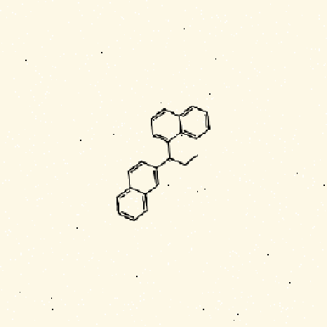 CC[C](c1ccc2ccccc2c1)c1cccc2ccccc12